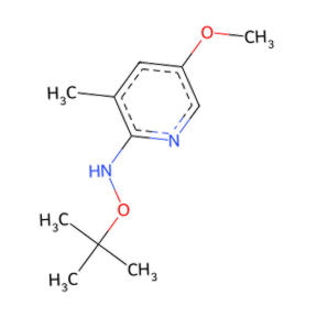 COc1cnc(NOC(C)(C)C)c(C)c1